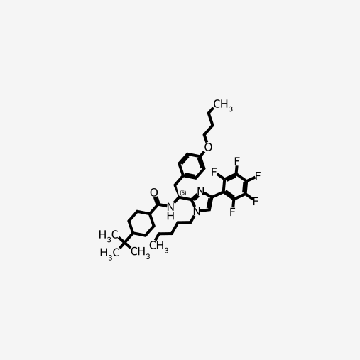 CCCCCn1cc(-c2c(F)c(F)c(F)c(F)c2F)nc1[C@H](Cc1ccc(OCCCC)cc1)NC(=O)C1CCC(C(C)(C)C)CC1